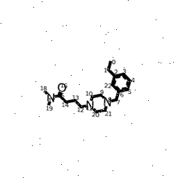 CCc1cccc(CN2CCN(CCCC(=O)N(C)C)CC2)c1